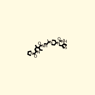 CNC(=O)N(Cc1ccsc1)C1CCN([C@H](C)CCNC(=O)c2c(C)cc(C(=O)N3CCCC3)nc2C)CC1